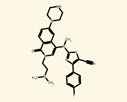 CN(C)CCn1cc(N(C)c2nc(-c3ccc(F)cc3)c(C#N)s2)c2cc(N3CCNCC3)ccc2c1=O